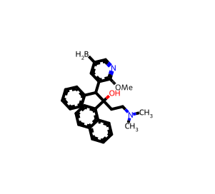 Bc1cnc(OC)c(C(c2ccccc2)C(O)(CCN(C)C)c2cccc3ccccc23)c1